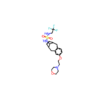 O=S(=O)(NCC(F)(F)F)NC1C2CCC1Cc1cc(OCCN3CCOCC3)ccc1C2